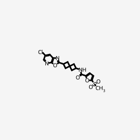 CS(=O)(=O)c1ccc(C(=O)NC2CC3(C2)CC(c2nc4cc(Cl)cnc4o2)C3)o1